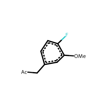 COc1cc(CC(C)=O)ccc1F